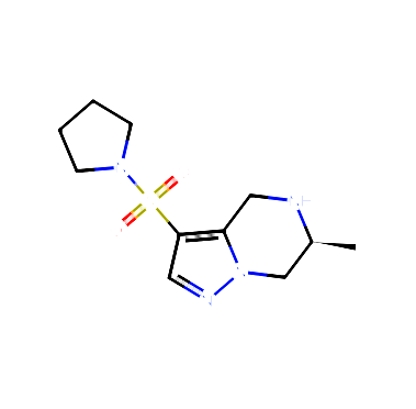 C[C@H]1Cn2ncc(S(=O)(=O)N3CCCC3)c2CN1